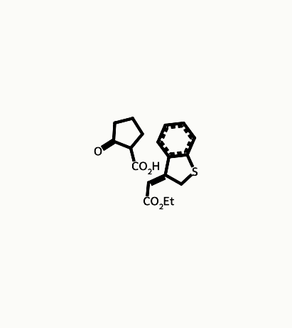 CCOC(=O)C=C1CSc2ccccc21.O=C(O)C1CCCC1=O